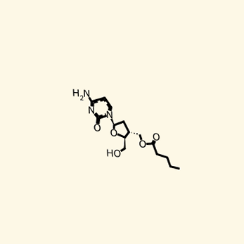 CCCCC(=O)OC[C@H]1C[C@H](n2ccc(N)nc2=O)O[C@@H]1CO